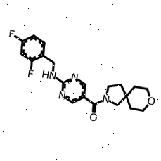 O=C(c1cnc(NCc2ccc(F)cc2F)nc1)N1CCC2(CCOCC2)C1